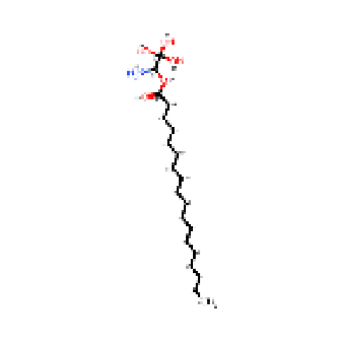 CCCCCCCCCCCCCCCCCC(=O)OC(N)C(O)(O)O